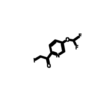 O=C(CI)c1ccc(OC(F)F)cn1